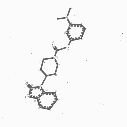 CN(C)c1cccc(OC(=O)N2CCC(n3c(=O)[nH]c4ccccc43)CC2)c1